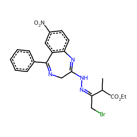 CCOC(=O)C(C)C(CBr)=NNC1=Nc2ccc([N+](=O)[O-])cc2C(c2ccccc2)=NC1